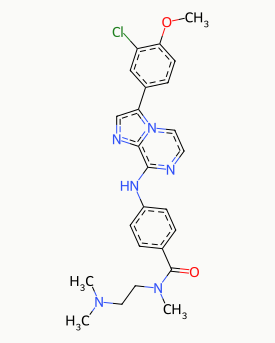 COc1ccc(-c2cnc3c(Nc4ccc(C(=O)N(C)CCN(C)C)cc4)nccn23)cc1Cl